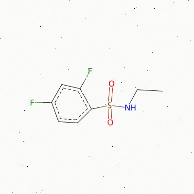 CCNS(=O)(=O)c1ccc(F)cc1F